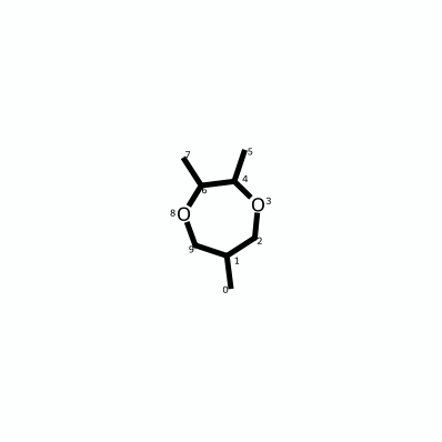 CC1COC(C)C(C)OC1